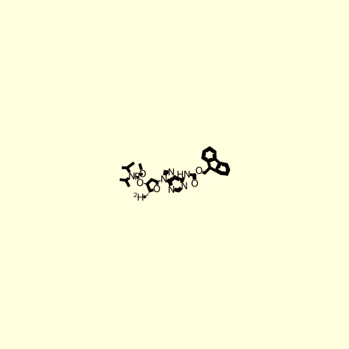 [2H]C[C@H]1O[C@@H](n2cnc3c(NC(=O)OCC4c5ccccc5-c5ccccc54)ncnc32)C[C@H]1OP(OC)N(C(C)C)C(C)C